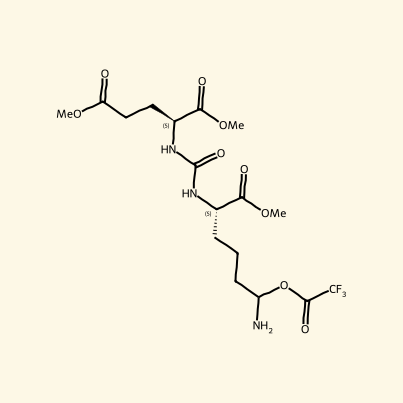 COC(=O)CC[C@H](NC(=O)N[C@@H](CCCC(N)OC(=O)C(F)(F)F)C(=O)OC)C(=O)OC